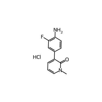 Cl.Cn1cccc(-c2ccc(N)c(F)c2)c1=O